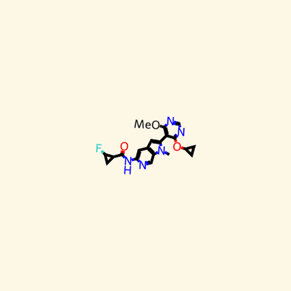 COc1ncnc(OC2CC2)c1-c1cc2cc(NC(=O)C3CC3F)ncc2n1C